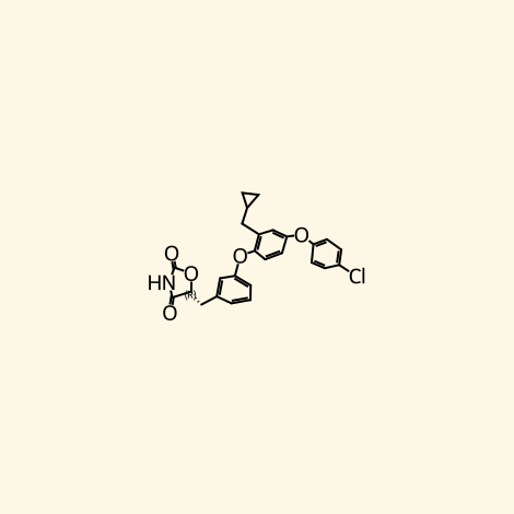 O=C1NC(=O)[C@@H](Cc2cccc(Oc3ccc(Oc4ccc(Cl)cc4)cc3CC3CC3)c2)O1